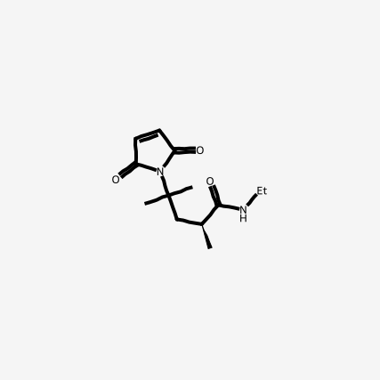 CCNC(=O)[C@@H](C)CC(C)(C)N1C(=O)C=CC1=O